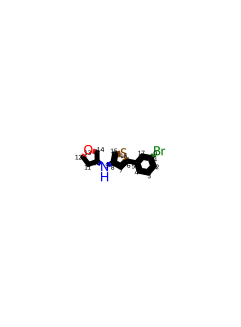 Brc1cccc(-c2cc(NC3CCOC3)cs2)c1